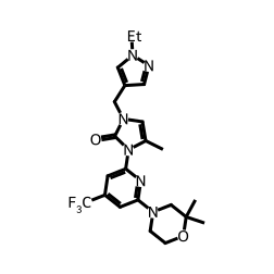 CCn1cc(Cn2cc(C)n(-c3cc(C(F)(F)F)cc(N4CCOC(C)(C)C4)n3)c2=O)cn1